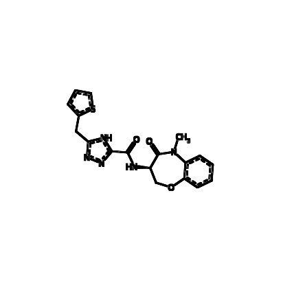 CN1C(=O)[C@H](NC(=O)c2nnc(Cc3cccs3)[nH]2)COc2ccccc21